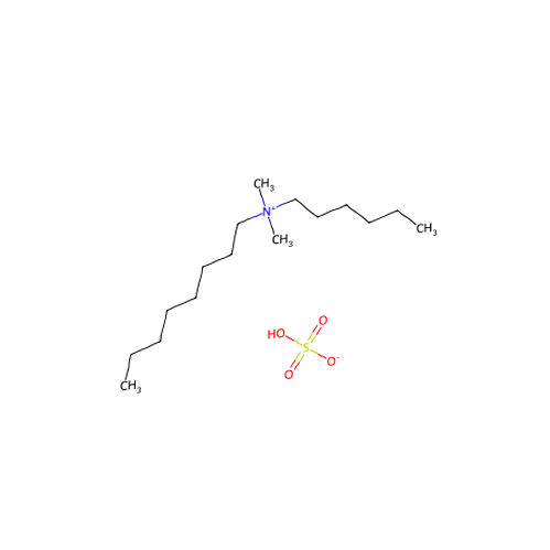 CCCCCCCC[N+](C)(C)CCCCCC.O=S(=O)([O-])O